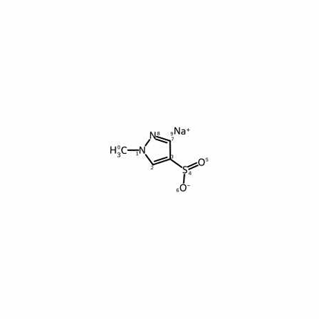 Cn1cc(S(=O)[O-])cn1.[Na+]